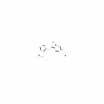 Cc1cc(N=S(C)(C)=O)cc2ncnc(Nc3ccc(F)cc3O[C@H](C)C(=O)NC(C)C)c12